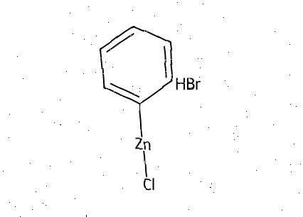 Br.[Cl][Zn][c]1ccccc1